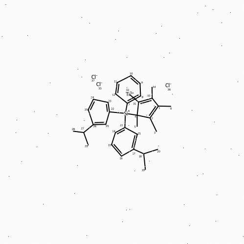 CC1=C(C)C(C)([Si](c2ccccc2)(c2cccc(C(C)C)c2)c2cccc(C(C)C)c2)[C]([Ti+3])=C1C.[Cl-].[Cl-].[Cl-]